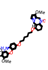 COc1cc(Oc2cc(OCCCCCCOC3CCC=C4[C@@H]3Cn3ccc(OC)c3C=[N+]4[O-])ccc2N)cc(OC)c1OC